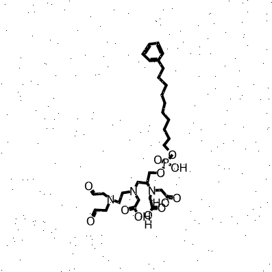 O=CCN(CC=O)CCN(CC(=O)O)CC(COP(=O)(O)OCCCCCCCCCCc1ccccc1)N(CC(=O)O)CC(=O)O